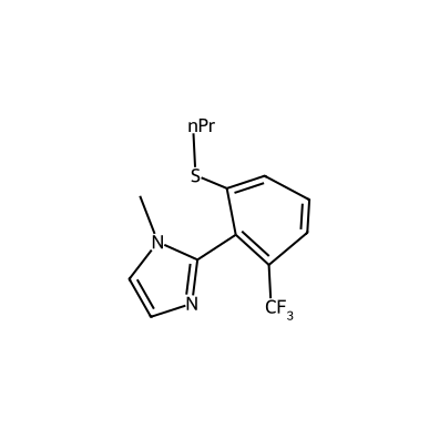 CCCSc1cccc(C(F)(F)F)c1-c1nccn1C